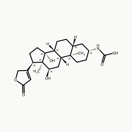 C[C@@]12CC[C@@H](NC(=O)O)C[C@H]1CC[C@@H]1[C@H]2C[C@@H](O)[C@@]2(C)[C@@H](C3=CC(=O)OC3)CC[C@@]12O